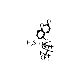 O=c1ccc2c(OS(=O)(=O)C(F)(F)C(F)(F)C(F)(F)C(F)(F)F)cccc2o1.S